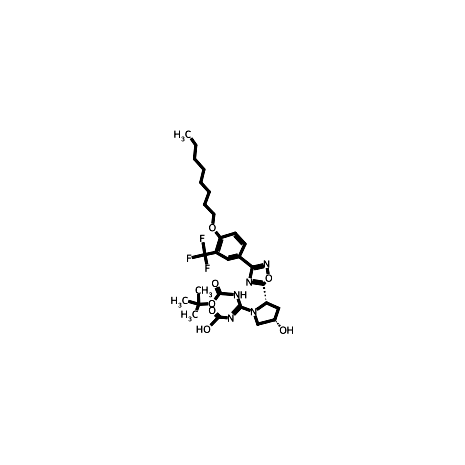 CCCCCCCCOc1ccc(-c2noc([C@@H]3C[C@H](O)CN3/C(=N/C(=O)O)NC(=O)OC(C)(C)C)n2)cc1C(F)(F)F